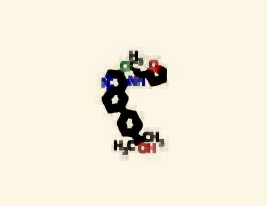 CC(Nc1c(Cl)cnc2ccc(-c3ccc(C(C)(C)O)cc3)cc12)c1ccco1